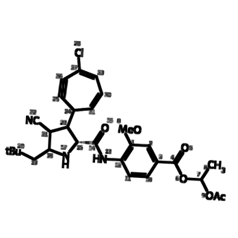 COc1cc(C(=O)OC(C)OC(C)=O)ccc1NC(=O)[C@@H]1NC(CC(C)(C)C)C(C#N)C1C1C#CC(Cl)=CC=C1